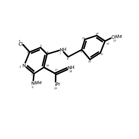 CNc1nc(Cl)cc(NCc2ccc(OC)cc2)c1C(=N)C(C)C